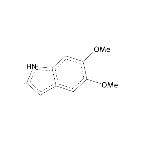 COc1cc2c[c][nH]c2cc1OC